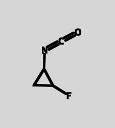 O=C=NC1CC1F